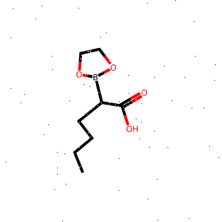 CCCCC(B1OCCO1)C(=O)O